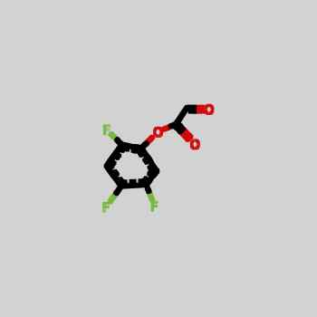 O=CC(=O)Oc1cc(F)c(F)cc1F